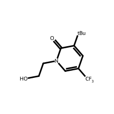 CC(C)(C)c1cc(C(F)(F)F)cn(CCO)c1=O